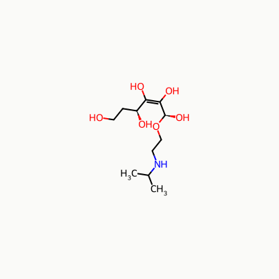 CC(C)NCCO[C@H](O)/C(O)=C(/O)[C@@H](O)CCO